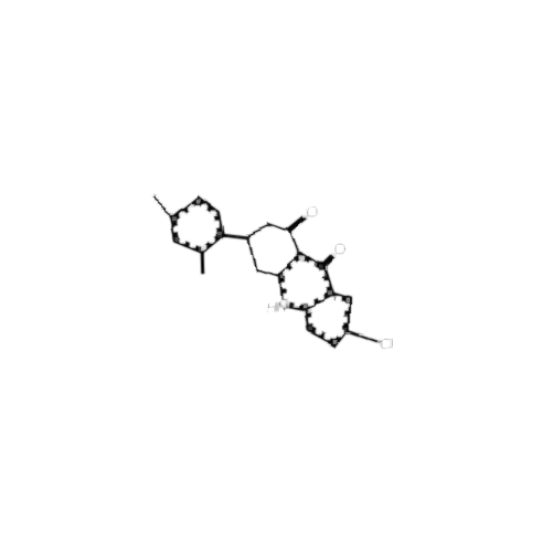 Cc1ccc(C2CC(=O)c3c([nH]c4ccc(Cl)cc4c3=O)C2)c(C)c1